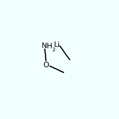 CON.[Li][CH3]